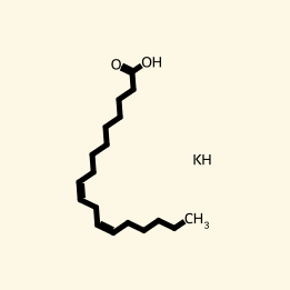 CCCCC/C=C\C/C=C\CCCCCCCC(=O)O.[KH]